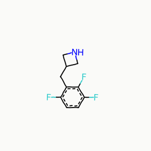 Fc1ccc(F)c(CC2CNC2)c1F